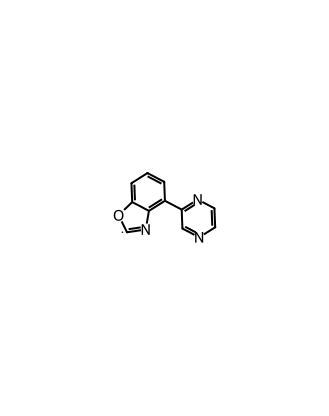 [c]1nc2c(-c3cnccn3)cccc2o1